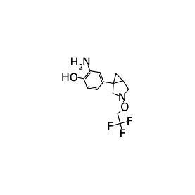 Nc1cc(C23CC2CN(OCC(F)(F)F)C3)ccc1O